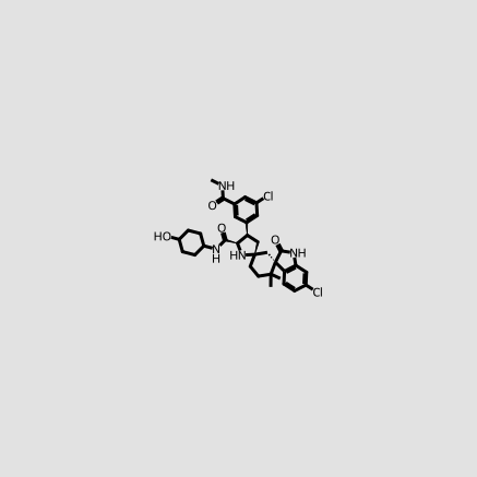 CNC(=O)c1cc(Cl)cc([C@H]2C[C@@]3(CCC(C)(C)[C@@]4(C3)C(=O)Nc3cc(Cl)ccc34)N[C@H]2C(=O)NC2CCC(O)CC2)c1